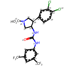 O=C(Nc1cc(C(F)(F)F)cc(C(F)(F)F)c1)NC1CN(C(=O)O)C[C@H]1c1ccc(Cl)c(Cl)c1